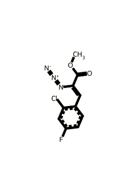 COC(=O)/C(=C/c1ccc(F)cc1Cl)N=[N+]=[N-]